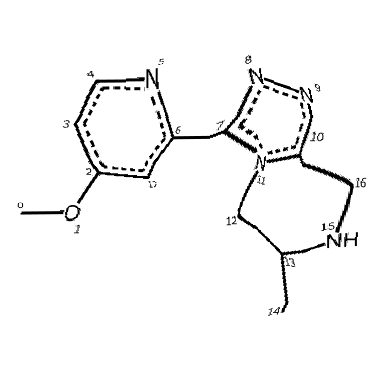 COc1ccnc(-c2nnc3n2CC(C)NC3)c1